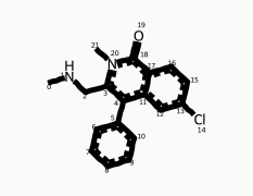 CNCc1c(-c2ccccc2)c2cc(Cl)ccc2c(=O)n1C